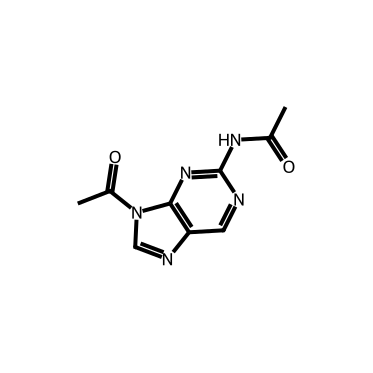 CC(=O)Nc1ncc2ncn(C(C)=O)c2n1